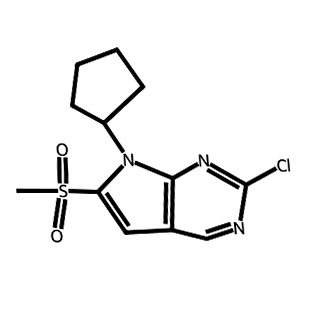 CS(=O)(=O)c1cc2cnc(Cl)nc2n1C1CCCC1